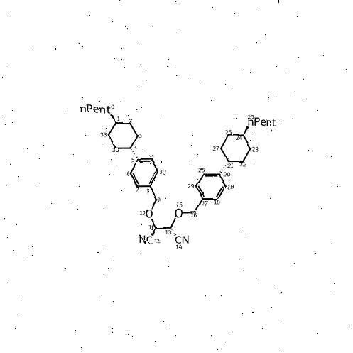 CCCCC[C@H]1CC[C@H](c2ccc(CO[C@H](C#N)[C@@H](C#N)OCc3ccc([C@H]4CC[C@H](CCCCC)CC4)cc3)cc2)CC1